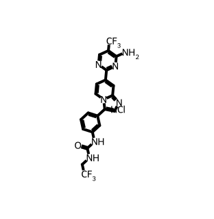 Cl.Nc1nc(-c2ccn3c(-c4cccc(NC(=O)NCC(F)(F)F)c4)cnc3c2)ncc1C(F)(F)F